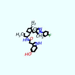 C=C1CC[C@H](CC(CCC)NC(=O)Cc2c[nH]c3ccc(O)cc23)[C@@]1(C)Cc1cnn(-c2ccc(F)cc2)c1C